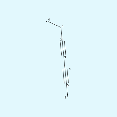 [CH2]CC#CC#CC